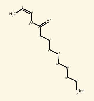 C/C=C\OC(=O)CCCCCCCCCCCCCCCCC